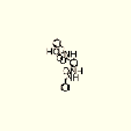 O=C(NCc1ccccc1)Nc1cccc(C(=O)NC(Cc2ccccc2)C(=O)O)c1